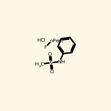 CCCCCF.CS(=O)(=O)Nc1ccccc1.Cl